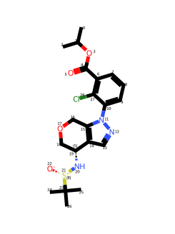 CC(C)OC(=O)c1cccc(-n2ncc3c2COC[C@H]3N[S@@+]([O-])C(C)(C)C)c1Cl